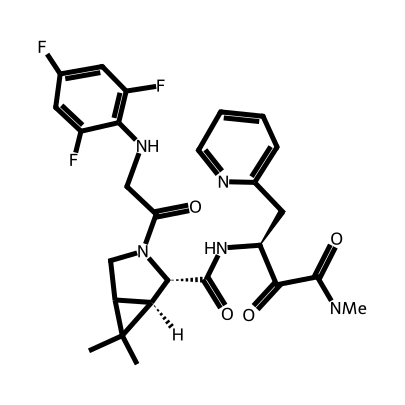 CNC(=O)C(=O)[C@H](Cc1ccccn1)NC(=O)[C@@H]1[C@@H]2C(CN1C(=O)CNc1c(F)cc(F)cc1F)C2(C)C